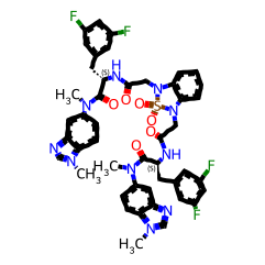 CN(C(=O)[C@H](Cc1cc(F)cc(F)c1)NC(=O)CN1c2ccccc2N(CC(=O)N[C@@H](Cc2cc(F)cc(F)c2)C(=O)N(C)c2ccc3c(c2)ncn3C)S1(=O)=O)c1ccc2c(c1)ncn2C